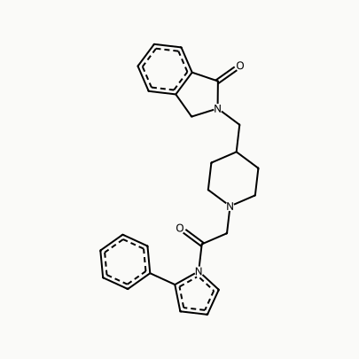 O=C1c2ccccc2CN1CC1CCN(CC(=O)n2cccc2-c2ccccc2)CC1